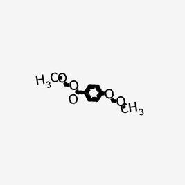 COCOC(=O)c1ccc(OCOC)cc1